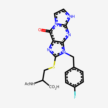 CC(=O)NC(CSc1nc2c(=O)n3cc[nH]c3nc2n1Cc1ccc(F)cc1)C(=O)O